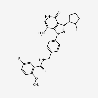 COc1ccc(F)cc1C(=O)NCc1ccc(-n2nc([C@H]3CCCC3F)c3c(=O)[nH]nc(N)c32)cc1